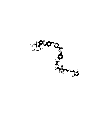 CCCCCNc1nc(N)nc2ccn(Cc3ccc(CN4CCN(C(=O)OCc5ccc(NC(=O)[C@H](C)NC(=O)[C@@H](NC(=O)CCOCCN6C(=O)C=CC6=O)C(C)C)cc5)CC4)cc3OC)c12